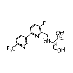 C[C@@H](O)[C@@H](CO)NCc1nc(-c2ccc(C(F)(F)F)nc2)ccc1F